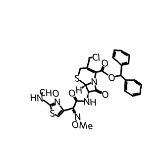 CON=C(C(=O)N[C@@H]1C(=O)N2C(C(=O)OC(c3ccccc3)c3ccccc3)=C(CCl)CS[C@@H]12)c1csc(NC=O)n1